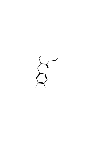 CCOC(=O)C(CC)Cc1ccc(Cl)c(N)c1